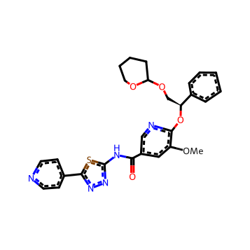 COc1cc(C(=O)Nc2nnc(-c3ccncc3)s2)cnc1O[C@@H](COC1CCCCO1)c1ccccc1